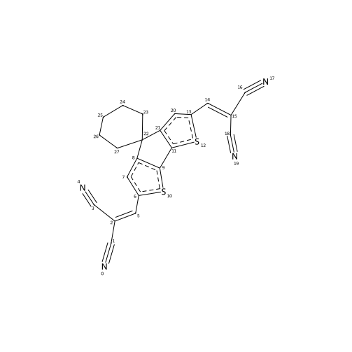 N#CC(C#N)=Cc1cc2c(s1)-c1sc(C=C(C#N)C#N)cc1C21CCCCC1